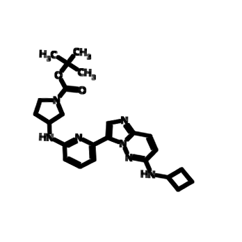 CC(C)(C)OC(=O)N1CCC(Nc2cccc(-c3cnc4ccc(NC5CCC5)nn34)n2)C1